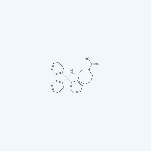 O=C(O)N1CCCC[C@H](NC(c2ccccc2)(c2ccccc2)c2ccccc2)C1